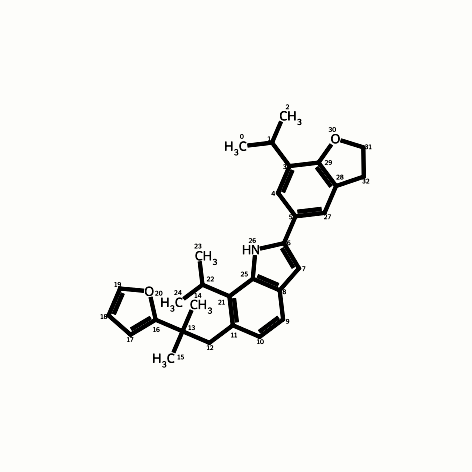 CC(C)c1cc(-c2cc3ccc(CC(C)(C)c4ccco4)c(C(C)C)c3[nH]2)cc2c1OCC2